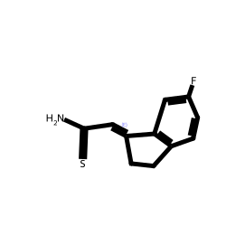 NC(=S)/C=C1\CCc2ccc(F)cc21